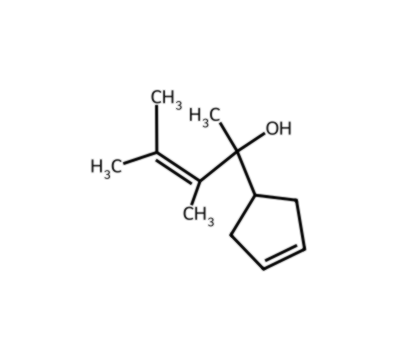 CC(C)=C(C)C(C)(O)C1CC=CC1